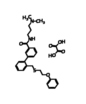 CN(C)CCCNC(=O)c1cccc(-c2ccccc2CSCCOc2ccccc2)c1.O=C(O)C(=O)O